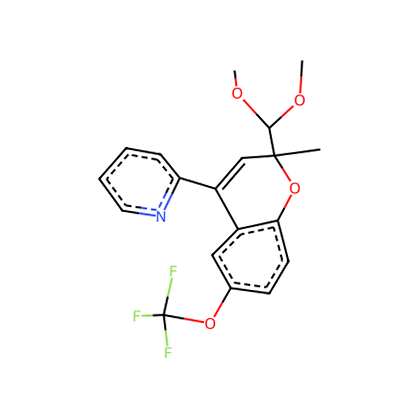 COC(OC)C1(C)C=C(c2ccccn2)c2cc(OC(F)(F)F)ccc2O1